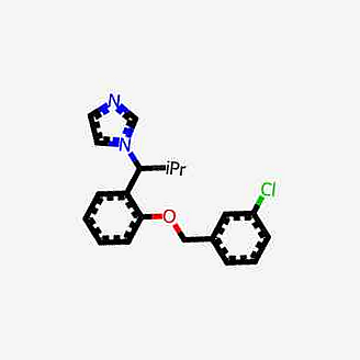 CC(C)C(c1ccccc1OCc1cccc(Cl)c1)n1ccnc1